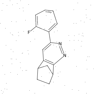 Fc1ccccc1-c1cc2c(nn1)C1CCC2C1